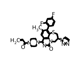 C=CC(=O)N1CCN(c2nc(=O)n3c4c(c(-c5ccc(F)cc5F)c(C)cc24)SCC(n2ccnn2)C3)CC1